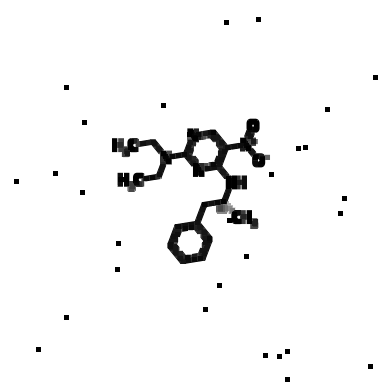 CCN(CC)c1ncc([N+](=O)[O-])c(N[C@H](C)Cc2ccccc2)n1